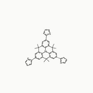 CC1(C)c2cc(-c3cccs3)cc3c2N2c4c1cc(-c1cccs1)cc4C(C)(C)c1cc(-c4cccs4)cc(c12)C3(C)C